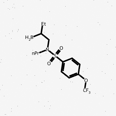 BC(CC)CN(CCC)S(=O)(=O)c1ccc(OC(F)(F)F)cc1